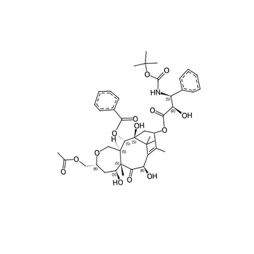 CC(=O)OC[C@H]1C[C@H](O)[C@@]2(C)C(=O)[C@H](O)C3=C(C)C(OC(=O)[C@H](O)[C@@H](NC(=O)OC(C)(C)C)c4ccccc4)C[C@@](O)([C@@H](OC(=O)c4ccccc4)[C@@H]2CO1)C3(C)C